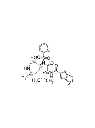 CC(C)C[C@H](NC(=O)c1cc2sccc2s1)C(=O)N([C@H]1CC[C@@H](C)NC[C@@H]1O)S(=O)(=O)c1ccccn1